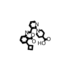 O=C(O)C1CCN(c2ncccc2-c2nc3cccc(C4CCC4)c3c(=O)o2)CC1